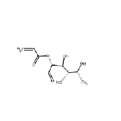 C=CC(=O)O[C@@H](C=O)[C@@H](O)[C@@H](O)[C@@H](C)O